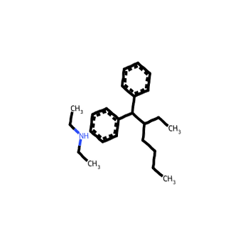 CCCCC(CC)C(c1ccccc1)c1ccccc1.CCNCC